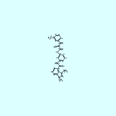 Cn1nc(N)c2c(C(=O)Nc3cccc(CNC(=O)Nc4cccc(C(F)(F)F)c4)c3)cccc21